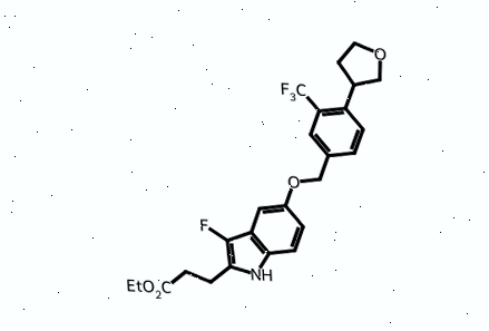 CCOC(=O)CCc1[nH]c2ccc(OCc3ccc(C4CCOC4)c(C(F)(F)F)c3)cc2c1F